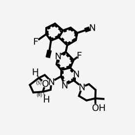 C#Cc1c(F)ccc2cc(C#N)cc(-c3ncc4c(N5C[C@H]6CC[C@@H](C5)O6)nc(N5CCC(C)(O)CC5)nc4c3F)c12